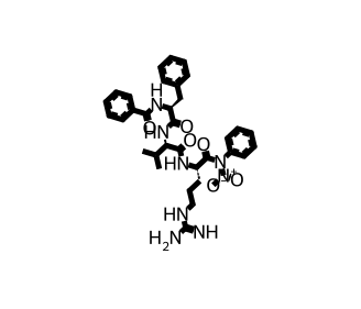 CC(C)[C@H](NC(=O)[C@H](Cc1ccccc1)NC(=O)c1ccccc1)C(=O)N[C@@H](CCCNC(=N)N)C(=O)N(c1ccccc1)[N+](=O)[O-]